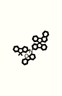 CC1(C)c2ccccc2-c2ccc(N(c3ccc4c(c3)-c3ccccc3C43c4ccccc4-c4c3ccc3ccccc43)c3cccc4c3oc3ccccc34)cc21